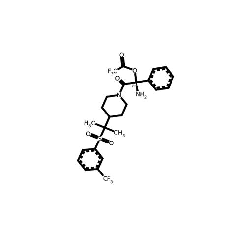 CC(C)(C1CCN(C(=O)[C@](N)(OC(=O)C(F)(F)F)c2ccccc2)CC1)S(=O)(=O)c1cccc(C(F)(F)F)c1